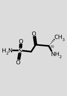 C[C@H](N)C(=O)CS(N)(=O)=O